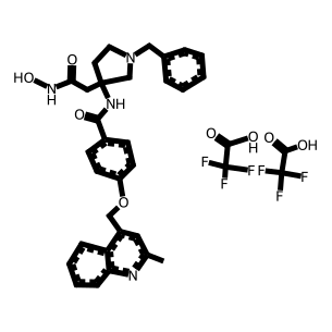 Cc1cc(COc2ccc(C(=O)NC3(CC(=O)NO)CCN(Cc4ccccc4)C3)cc2)c2ccccc2n1.O=C(O)C(F)(F)F.O=C(O)C(F)(F)F